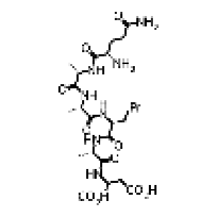 CC(C)C[C@H](NC(=O)[C@H](C)NC(=O)[C@H](C)NC(=O)[C@@H](N)CCC(N)=O)C(=O)N[C@@H](C)C(=O)N[C@@H](CC(=O)O)C(=O)O